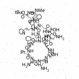 CNC(=O)c1ccccc1Sc1ccc2c(/C=C/c3ccccn3)nn(C(=O)N(CCNC(=O)CC[C@H](N)C(=O)OC(C)(C)C)CCC(=O)N[C@H](C(=O)N[C@@H](CCN)C(=O)N[C@H]3CCNC(=O)[C@H]([C@@H](C)O)NC(=O)[C@H](CCN)NC(=O)[C@H](CCN)NC(=O)[C@H](CC(C)C)NC(=O)[C@@H](Cc4ccccc4)NC(=O)[C@H](CCN)NC3=O)[C@@H](C)O)c2c1